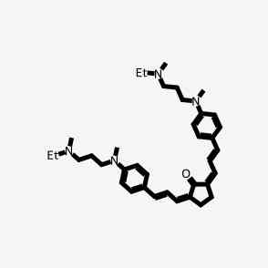 CCN(C)CCCN(C)c1ccc(C=CC=C2CCC(=CC=Cc3ccc(N(C)CCCN(C)CC)cc3)C2=O)cc1